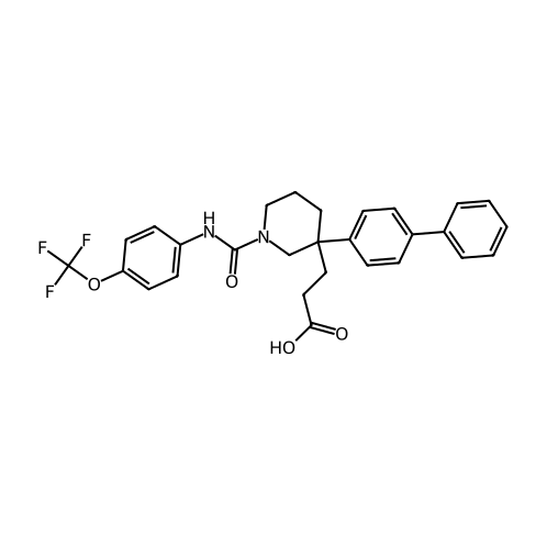 O=C(O)CCC1(c2ccc(-c3ccccc3)cc2)CCCN(C(=O)Nc2ccc(OC(F)(F)F)cc2)C1